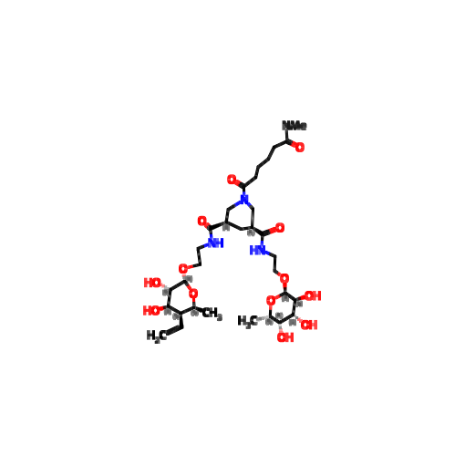 C=C[C@H]1[C@@H](O)[C@H](O)[C@H](OCCNC(=O)[C@@H]2C[C@H](C(=O)NCCO[C@@H]3O[C@@H](C)[C@@H](O)[C@@H](O)[C@@H]3O)CN(C(=O)CCCCC(=O)NC)C2)O[C@H]1C